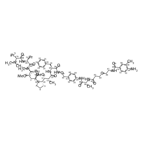 CC[C@H](C)[C@@H]([C@@H](CC(=O)N1CCC[C@H]1[C@H](OC)[C@@H](C)C(=O)N[C@@H](Cc1ccccc1)C(=O)NOCc1ccc(NC(=O)[C@@H](C)NC(=O)CCOCCNC(=O)c2ccc(N)c(C)c2)cc1)OC)N(C)C(=O)[C@@H](NC(=O)[C@H](C(C)C)N(C)C)C(C)C